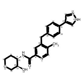 Cc1cnc(C(=O)N[C@H]2CCOC[C@@H]2O)cc1Cc1ccc(-c2cn[nH]c2)cc1